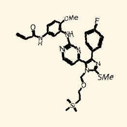 C=CC(=O)Nc1ccc(OC)c(Nc2nccc(-c3c(-c4ccc(F)cc4)nc(SC)n3COCC[Si](C)(C)C)n2)c1